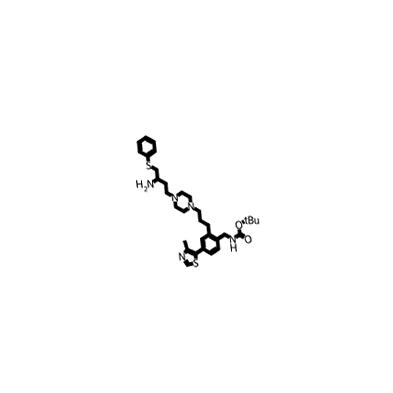 Cc1ncsc1-c1ccc(CNC(=O)OC(C)(C)C)c(CCCN2CCN(CCC(N)CSc3ccccc3)CC2)c1